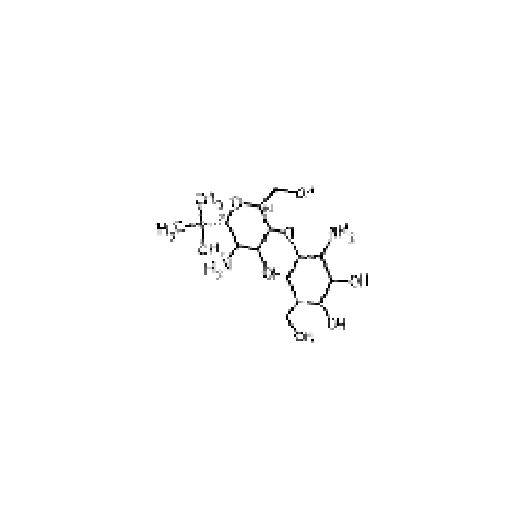 CC(C)(C)[C@@H]1O[C@@H](CO)C(OC2CC(CO)C(O)C(O)C2N)C(O)C1N